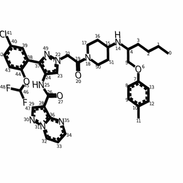 CCCCC(COc1ccc(C)cc1)NC1CCN(C(=O)Cn2cc(NC(=O)c3cnn4cccnc34)c(-c3cc(Cl)ccc3OC(F)F)n2)CC1